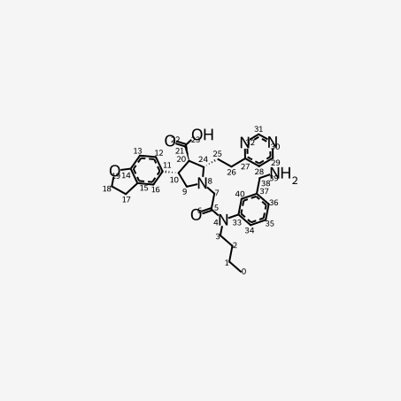 CCCCN(C(=O)CN1C[C@H](c2ccc3c(c2)CCO3)[C@@H](C(=O)O)[C@@H]1CCc1ccncn1)c1cccc(CN)c1